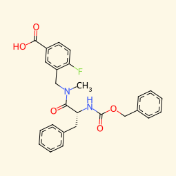 CN(Cc1cc(C(=O)O)ccc1F)C(=O)[C@@H](Cc1ccccc1)NC(=O)OCc1ccccc1